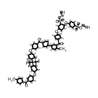 Cc1ccc(C(=O)c2ccc(Oc3ccc(C(c4ccc(Oc5ccc(C(=O)c6ccc(-c7ccc(C)c(C(=O)c8ccc(Oc9ccc(Oc%10ccc(S(=O)(=O)ON=P)cc%10)c(S(=O)(=O)ON=P)c9)cc8)c7)cc6)cc5)cc4)(C(F)(F)F)C(F)(F)F)cc3)cc2)cc1